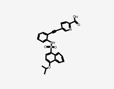 CC(C)Oc1ccc(S(=O)(=O)Nc2ccccc2C#Cc2ccc(C(=O)O)nc2)c2ccccc12